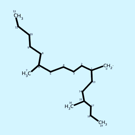 [CH2]C(CCCCC(C)CCCCC)CCC(C)CCC